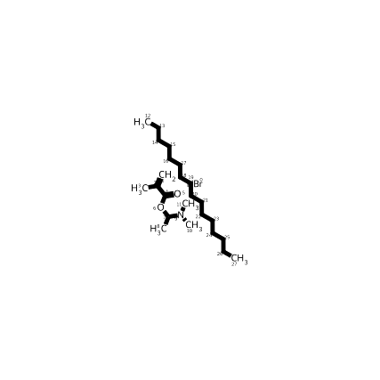 Br.C=C(C)C(=O)OC(C)N(C)C.CCCCCCCCCCCCCCCC